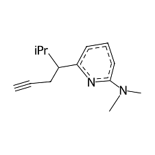 C#CCC(c1cccc(N(C)C)n1)C(C)C